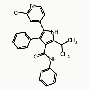 CC(C)c1[nH]c(-c2ccnc(Cl)c2)c(-c2ccccc2)c1C(=O)Nc1ccccc1